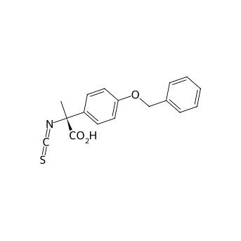 C[C@](N=C=S)(C(=O)O)c1ccc(OCc2ccccc2)cc1